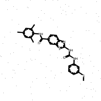 CSc1cccc(NC(=O)Nc2nc3ccc(C(=O)Nc4c(C)cc(C)cc4C)cc3s2)c1